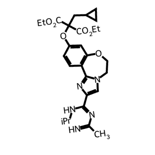 CCOC(=O)C(CC1CC1)(Oc1ccc2c(c1)OCCn1cc(/C(=N/C(C)=N)NC(C)C)nc1-2)C(=O)OCC